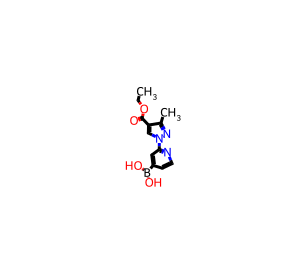 CCOC(=O)c1cn(-c2cc(B(O)O)ccn2)nc1C